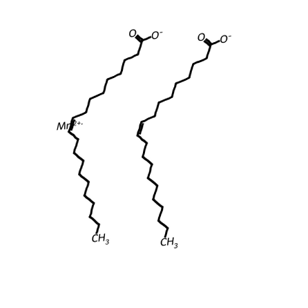 CCCCCCCCCC/C=C\CCCCCCCC(=O)[O-].CCCCCCCCCC/C=C\CCCCCCCC(=O)[O-].[Mn+2]